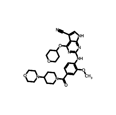 COc1cc(C(=O)N2CCC(N3CCOCC3)CC2)ccc1Nc1nc(OC2CCOCC2)c2c(C#N)c[nH]c2n1